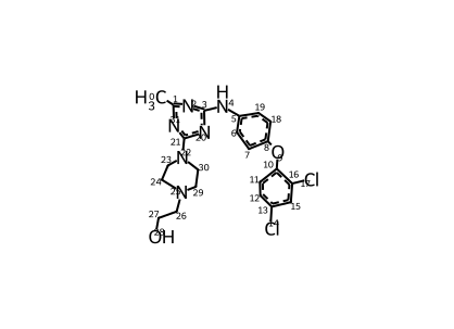 Cc1nc(Nc2ccc(Oc3ccc(Cl)cc3Cl)cc2)nc(N2CCN(CCO)CC2)n1